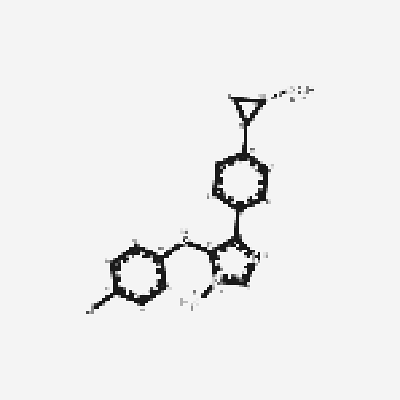 Cn1cnc(-c2ccc([C@H]3C[C@@H]3C(=O)O)cc2)c1Sc1ccc(Cl)cc1